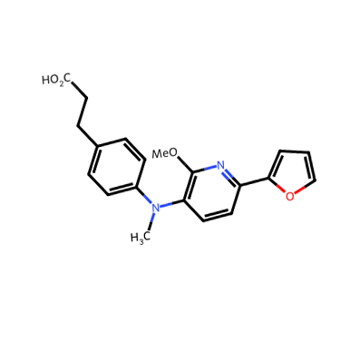 COc1nc(-c2ccco2)ccc1N(C)c1ccc(CCC(=O)O)cc1